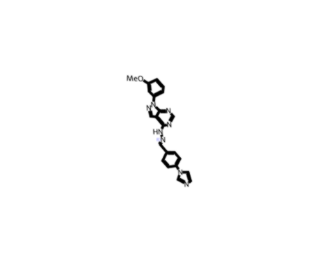 COc1cccc(-n2ncc3c(N/N=C/c4ccc(-n5ccnc5)cc4)ncnc32)c1